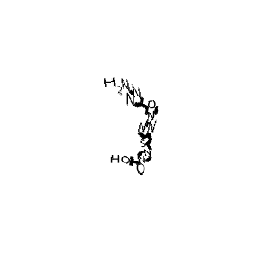 CC(C)(O)C(=O)N1CCN(Cc2cc3nc(N4CCOC(c5cnc(N)nc5)C4)ncc3s2)CC1